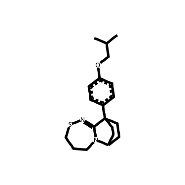 CC(C)COc1ccc(C23CCC(CC2)N2CCCSN=C23)cc1